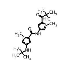 Cn1cc(NC(C)(C)C)cc1C(=O)Nc1cc(C(=O)C(C)(C)C)n(C)c1